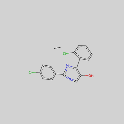 CC.Oc1cnc(-c2ccc(Cl)cc2)nc1-c1ccccc1Cl